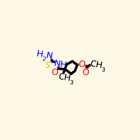 CC(=O)OC1CCC(C)(C(=O)NC(N)=S)CC1